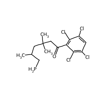 CC(CP)CC(C)(C)CC(=O)c1c(Cl)c(Cl)cc(Cl)c1Cl